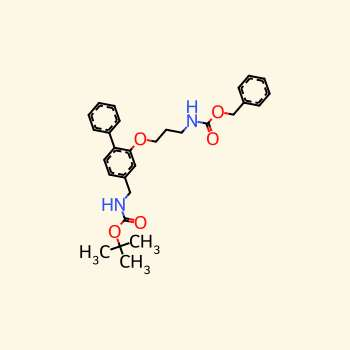 CC(C)(C)OC(=O)NCc1ccc(-c2ccccc2)c(OCCCNC(=O)OCc2ccccc2)c1